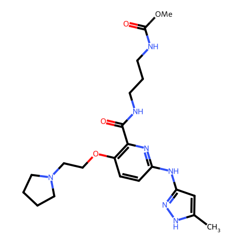 COC(=O)NCCCNC(=O)c1nc(Nc2cc(C)[nH]n2)ccc1OCCN1CCCC1